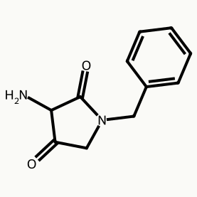 NC1C(=O)CN(Cc2ccccc2)C1=O